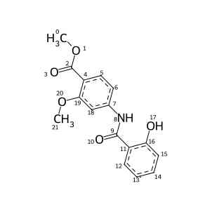 COC(=O)c1ccc(NC(=O)c2c[c]ccc2O)cc1OC